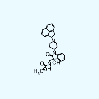 COC(=O)NCC1(O)C(=O)N(C2CCN(C3Cc4cccc5cccc3c45)CC2)c2ccccc21